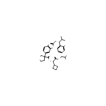 CC(C)[C@H](Cc1nc2ccc(C3(C(=O)N[C@@H](C(=O)NCC(F)F)C4CCC4)CCOC3)cc2[nH]1)c1ccccc1Cl